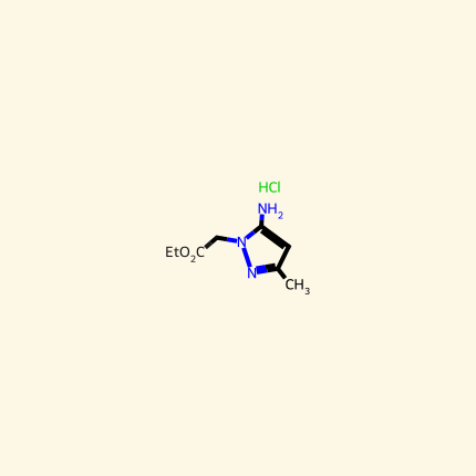 CCOC(=O)Cn1nc(C)cc1N.Cl